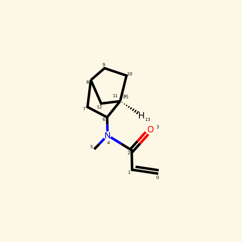 C=CC(=O)N(C)C1CC2CC[C@@H]1C2